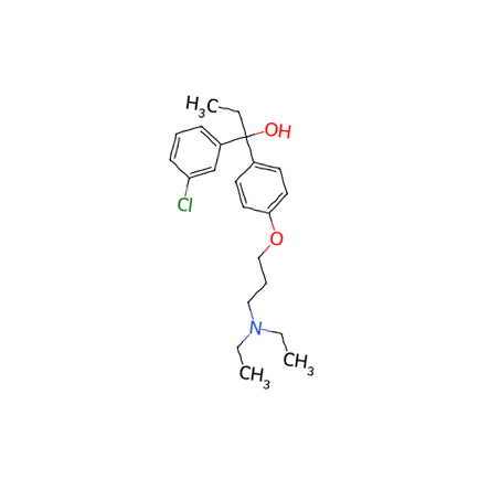 CCN(CC)CCCOc1ccc(C(O)(CC)c2cccc(Cl)c2)cc1